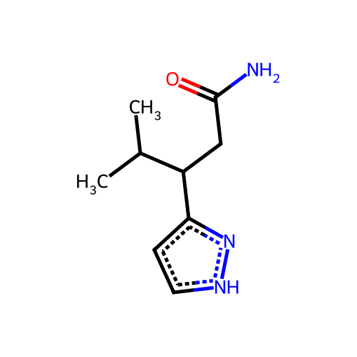 CC(C)C(CC(N)=O)c1cc[nH]n1